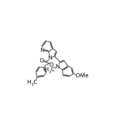 COc1ccc2c(c1)cc(-c1cc3cccnc3n1S(=O)(=O)c1ccc(C)cc1)n2C